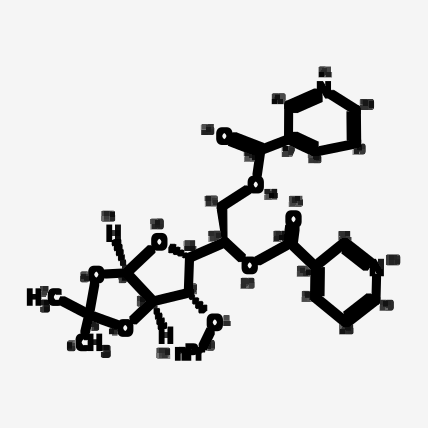 CCCO[C@@H]1[C@H]2OC(C)(C)O[C@H]2O[C@@H]1[C@@H](COC(=O)c1cccnc1)OC(=O)c1cccnc1